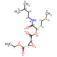 CCOC(=O)[C@H]1O[C@@H]1C(=O)O[C@@H](CCSC)C(=O)NCCC(C)C